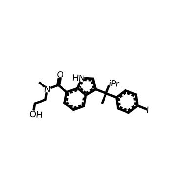 CC(C)C(C)(c1ccc(I)cc1)c1c[nH]c2c(C(=O)N(C)CCO)cccc12